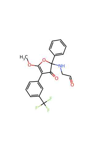 COC1=C(c2cccc(C(F)(F)F)c2)C(=O)C(NCC=O)(c2ccccc2)O1